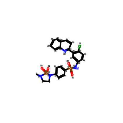 CN1CCN(c2ccc(S(=O)(=O)Nc3ccc(Cl)c(-c4ccc5ccccc5n4)c3)cc2)S1(=O)=O